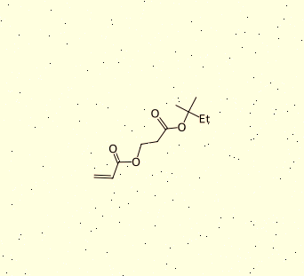 C=CC(=O)OCCC(=O)OC(C)(C)CC